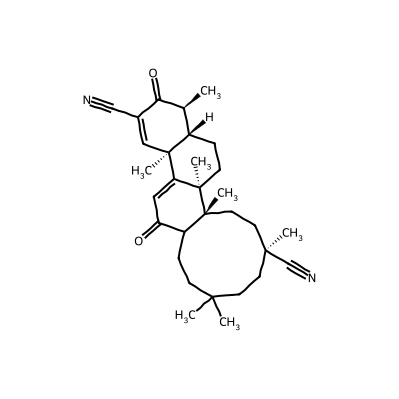 C[C@@H]1C(=O)C(C#N)=C[C@]2(C)C3=CC(=O)C4CCC(C)(C)CC[C@](C)(C#N)CC[C@@]4(C)[C@]3(C)CC[C@@H]12